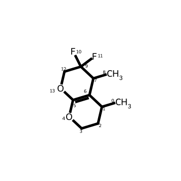 CC1CCOC2=C1C(C)C(F)(F)CO2